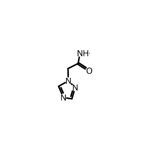 [NH]C(=O)Cn1cncn1